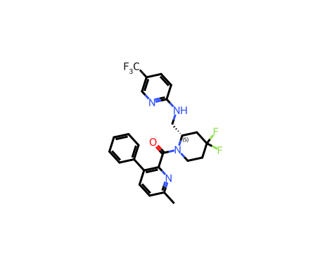 Cc1ccc(-c2ccccc2)c(C(=O)N2CCC(F)(F)C[C@H]2CNc2ccc(C(F)(F)F)cn2)n1